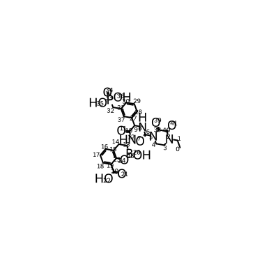 CCN1CCN(C(=O)NC(C(=O)N[C@H]2Cc3cccc(C(=O)O)c3OB2O)c2cccc(CP(=O)(O)O)c2)C(=O)C1=O